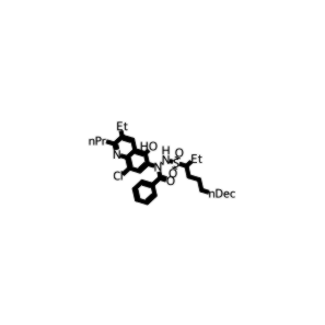 CCCCCCCCCCCCCC(CC)S(=O)(=O)NN(C(=O)c1ccccc1)c1cc(Cl)c2nc(CCC)c(CC)cc2c1O